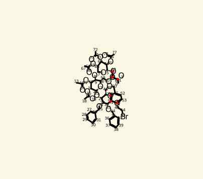 CC(=O)OC[C@H]1O[C@H](O[C@@H]2[C@H](OC(C)=O)[C@@H](OC(C)=O)[C@H](O[C@H]3[C@H](OCc4ccccc4)[C@@H](OCc4ccccc4)[C@H](OCCBr)O[C@@H]3COCc3ccccc3)O[C@@H]2COC(C)=O)[C@H](OC(C)=O)[C@@H](OC(C)=O)[C@H]1OC(C)=O